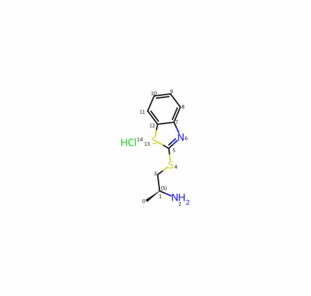 C[C@H](N)CSc1nc2ccccc2s1.Cl